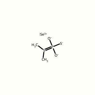 CS(C)=P([O-])([O-])[S-].[Se+3]